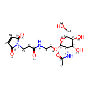 CC(=O)N[C@@H]1[C@H](OCCNC(=O)CCN2C(=O)C=CC2=O)O[C@H](CO)[C@@H](O)[C@@H]1O